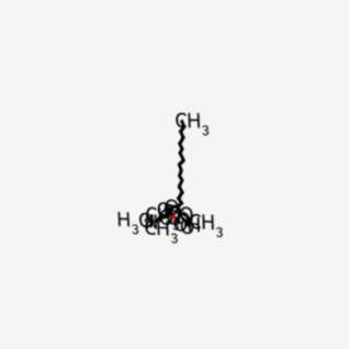 CCCCCCCCCCCCCCCCC(OP(=O)([O-])OCC[N+](C)(C)C)[C@H](CO)OC(C)=O